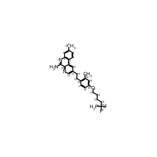 Cc1ccc2c(c1)nc(N)c1ncc(CCc3ccc(OCCCCC(F)(F)P)cc3C)cc12